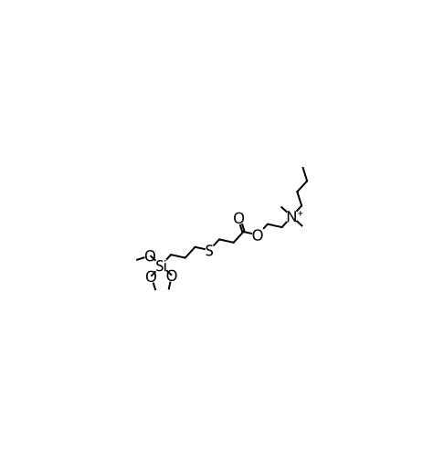 CCCC[N+](C)(C)CCOC(=O)CCSCCC[Si](OC)(OC)OC